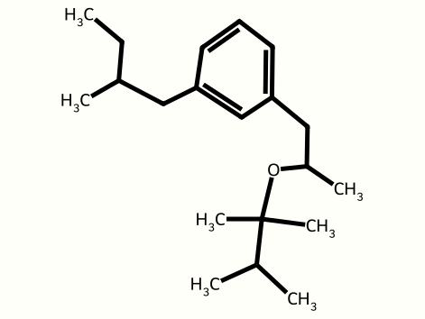 CCC(C)Cc1cccc(CC(C)OC(C)(C)C(C)C)c1